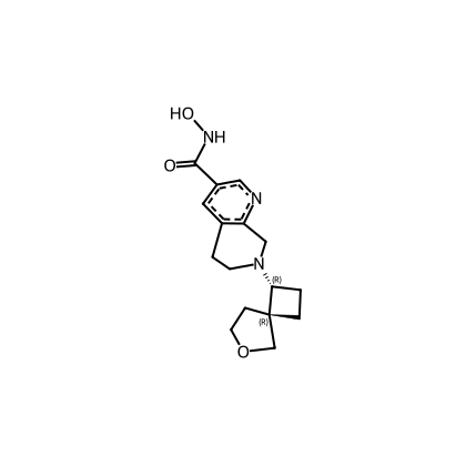 O=C(NO)c1cnc2c(c1)CCN([C@@H]1CC[C@@]13CCOC3)C2